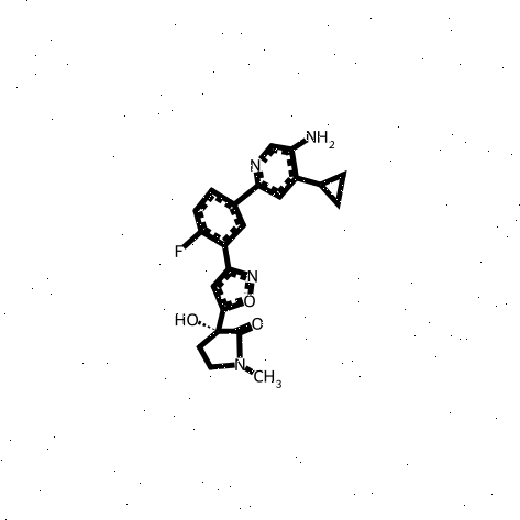 CN1CC[C@@](O)(c2cc(-c3cc(-c4cc(C5CC5)c(N)cn4)ccc3F)no2)C1=O